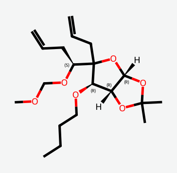 C=CC[C@H](OCOC)C1(CC=C)O[C@@H]2OC(C)(C)O[C@@H]2[C@H]1OCCCC